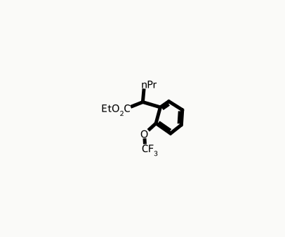 CCCC(C(=O)OCC)c1ccccc1OC(F)(F)F